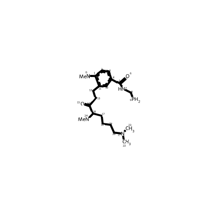 CNc1ccc(C(=O)NCP)cc1CCC(=O)C(CCCCN(C)C)NC